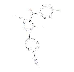 Cc1nn(-c2ccc(C#N)cc2)c(C)c1C(=O)c1ccc(F)cc1